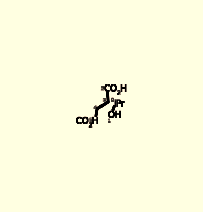 CC(C)O.O=C(O)CCC(=O)O